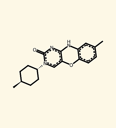 Cc1ccc2c(c1)Nc1nc(=O)n([C@H]3CC[C@H](C)CC3)cc1O2